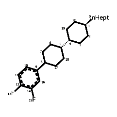 CCCCCCC[C@H]1CC[C@H](C2CCC(c3ccc(F)c(F)c3)CC2)CC1